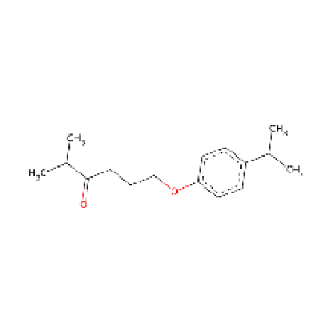 CC(C)C(=O)CCCOc1ccc(C(C)C)cc1